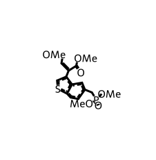 COC=C(C(=O)OC)c1csc2ccc(CP(=O)(OC)OC)cc12